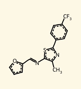 Cc1nc(-c2ccc(C(F)(F)F)cc2)sc1/N=C/c1ccco1